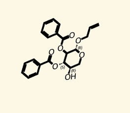 C=CCO[C@@H]1OC[C@@H](O)[C@H](OC(=O)c2ccccc2)C1OC(=O)c1ccccc1